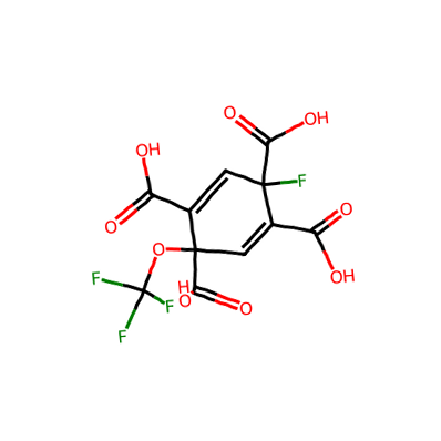 O=C(O)C1=CC(OC(F)(F)F)(C(=O)O)C(C(=O)O)=CC1(F)C(=O)O